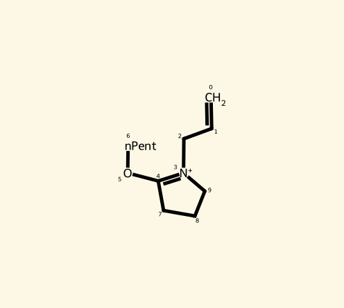 C=CC[N+]1=C(OCCCCC)CCC1